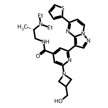 CCN(CC)[C@@H](C)CNC(=O)c1cc(-c2cnn3ccc(-c4cccs4)nc23)nc(N2CC(CO)C2)c1